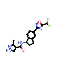 Cc1n[nH]cc1C(=O)N[C@@H]1CCc2cc(-c3noc(C(F)F)n3)ccc21